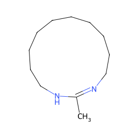 C/C1=N/CCCCCCCCCCN1